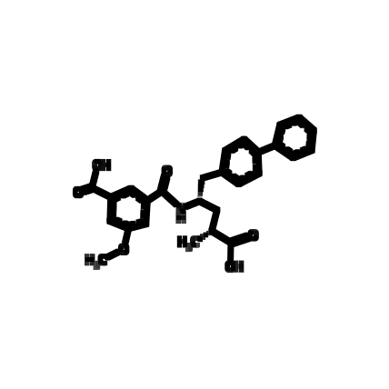 COc1cc(C(=O)O)cc(C(=O)N[C@H](Cc2ccc(-c3ccccc3)cc2)C[C@@H](C)C(=O)O)c1